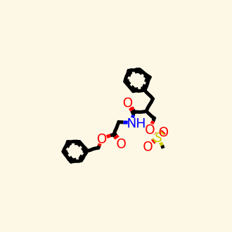 CS(=O)(=O)OCC(Cc1ccccc1)C(=O)NCC(=O)OCc1ccccc1